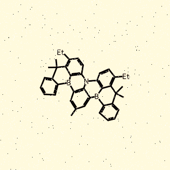 CCc1ccc2c3c1C(C)(C)c1ccccc1B3c1cc(C)cc3c1N2c1ccc(CC)c2c1B3c1ccccc1C2(C)C